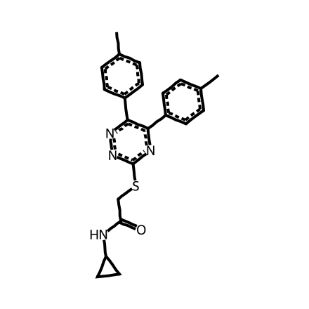 Cc1ccc(-c2nnc(SCC(=O)NC3CC3)nc2-c2ccc(C)cc2)cc1